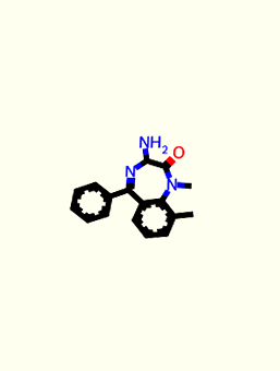 Cc1cccc2c1N(C)C(=O)C(N)N=C2c1ccccc1